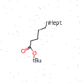 CCCCCCCCCCCC(=O)OC(C)(C)C